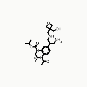 CC(=O)N1c2ccc(C(CN)CNCC3(CO)COC3)cc2N(C(=O)OC(C)C)C[C@@H]1C